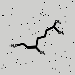 [CH2]CC=C(C)CCCC(C)C